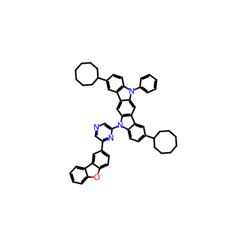 c1ccc(-n2c3ccc(C4CCCCCCC4)cc3c3cc4c(cc32)c2cc(C3CCCCCCC3)ccc2n4-c2cncc(-c3ccc4oc5ccccc5c4c3)n2)cc1